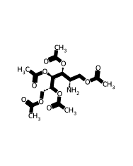 CC(=O)OC[C@H](N)[C@@H](OC(C)=O)[C@H](OC(C)=O)[C@@H](COC(C)=O)OC(C)=O